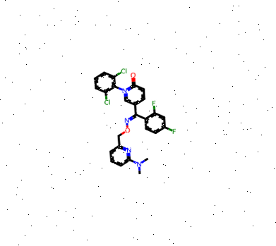 CN(C)c1cccc(CO/N=C(/c2ccc(=O)n(-c3c(Cl)cccc3Cl)c2)c2ccc(F)cc2F)n1